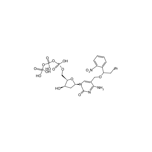 CC(C)CC(OCc1cn([C@H]2C[C@@H](O)[C@@H](COP(=O)(O)OP(=O)(O)OP(=O)(O)O)O2)c(=O)nc1N)c1ccccc1[N+](=O)[O-]